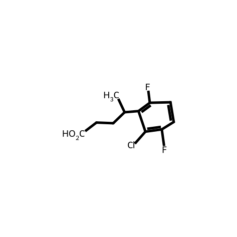 CC(CCC(=O)O)c1c(F)ccc(F)c1Cl